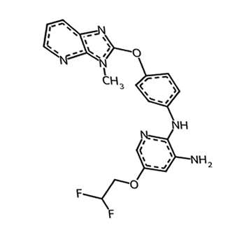 Cn1c(Oc2ccc(Nc3ncc(OCC(F)F)cc3N)cc2)nc2cccnc21